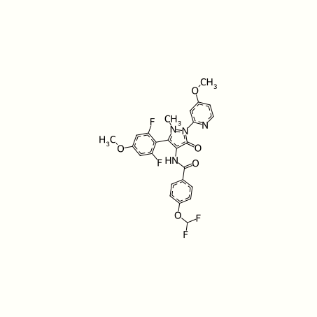 COc1ccnc(-n2c(=O)c(NC(=O)c3ccc(OC(F)F)cc3)c(-c3c(F)cc(OC)cc3F)n2C)c1